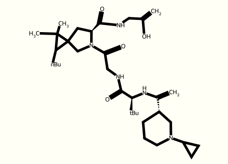 C=C(O)CNC(=O)[C@@H]1CC2(CN1C(=O)CNC(=O)[C@@H](NC(=C)[C@H]1CCCN(C3CC3)C1)C(C)(C)C)C(CCCC)C2(C)C